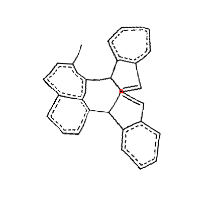 Cc1ccc2cccc(C3C=Cc4ccccc43)c2c1C1C=Cc2ccccc21